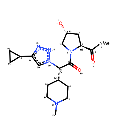 CNC(=O)[C@@H]1C[C@@H](O)CN1C(=O)[C@H](C1CCN(C)CC1)n1cc(C2CC2)nn1